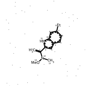 C=C(c1cc2ccc(CC)cc2[nH]1)N(C)OC